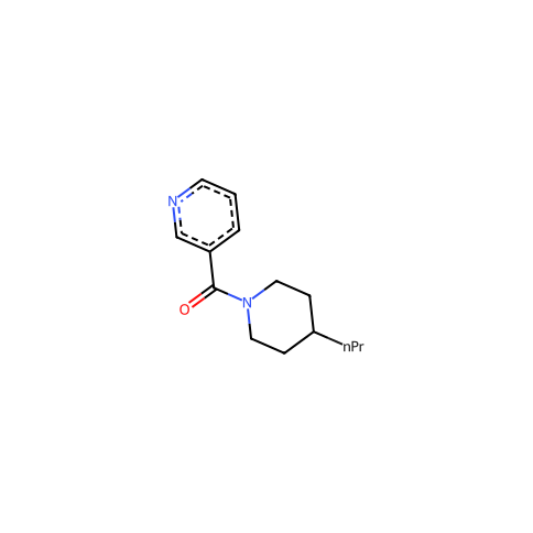 CCCC1CCN(C(=O)c2cccnc2)CC1